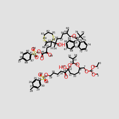 CCOC(OC)OCC1CCCC(O)(C(=O)CCCCOS(=O)(=O)c2ccc(C)cc2)OC(C(C)C)O1.Cc1ccc(S(=O)(=O)OC(=O)C(=O)CCC2(C(C)(O)CCCC(C)CO[Si](c3ccccc3)(c3ccccc3)C(C)(C)C)SCCCSC2C)cc1